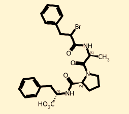 C[C@H](NC(=O)C(Br)Cc1ccccc1)C(=O)N1CCC[C@H]1C(=O)N[C@@H](Cc1ccccc1)C(=O)O